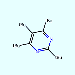 CC(C)(C)c1nc(C(C)(C)C)c(C(C)(C)C)c(C(C)(C)C)n1